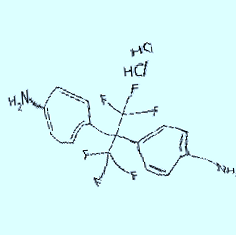 Cl.Cl.Nc1ccc(C(c2ccc(N)cc2)(C(F)(F)F)C(F)(F)F)cc1